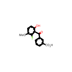 COc1ccc(O)c(C(=O)c2cccc(C(=O)O)c2)c1F